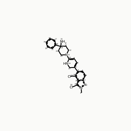 Cn1nc2ccc(C3=CC=C(N4CCC(N)(c5ccccc5)CC4)NC3)c(Cl)c2c1Cl